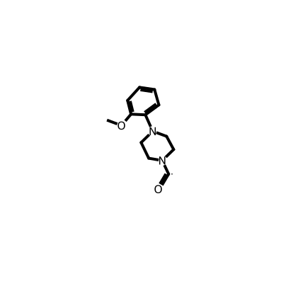 COc1ccccc1N1CCN([C]=O)CC1